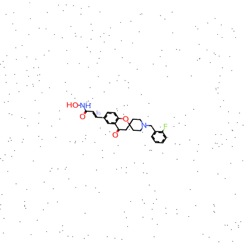 O=C(/C=C/c1ccc2c(c1)C(=O)CC1(CCN(Cc3ccccc3F)CC1)O2)NO